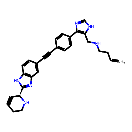 C=CCCNCc1[nH]cnc1-c1ccc(C#Cc2ccc3[nH]c([C@@H]4C#CCCN4)nc3c2)cc1